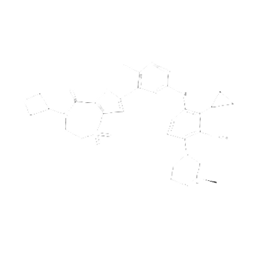 COc1c(N2CCN[C@H](C)C2)ccc(Nc2ncc(C(F)(F)F)c(-c3cc4c(s3)C(=O)N(C3COC3)CCS4(=O)=O)n2)c1C1CC1